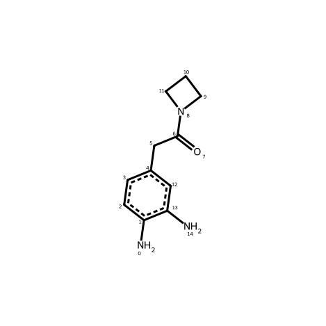 Nc1ccc(CC(=O)N2CCC2)cc1N